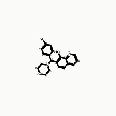 N#Cc1ccc(C(c2ccc3cccnc3c2O)N2CCOCC2)cc1